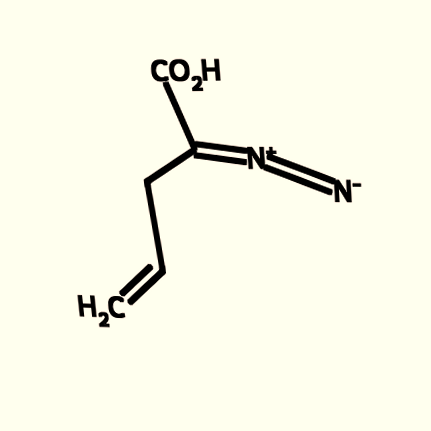 C=CCC(=[N+]=[N-])C(=O)O